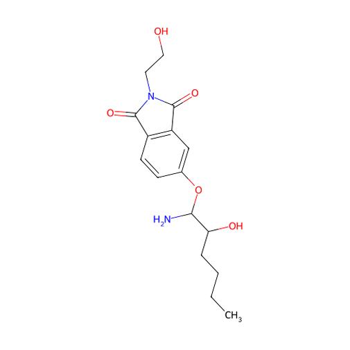 CCCCC(O)C(N)Oc1ccc2c(c1)C(=O)N(CCO)C2=O